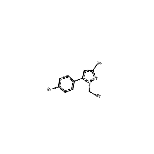 CC(C)Cn1nc(C(C)C)cc1-c1ccc(Br)cc1